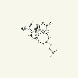 CC(C)=CCN1CCc2ccc(C(N)=O)c(O)c2[C@@]2(CC1)CC(=O)CC[C@]2(C)O